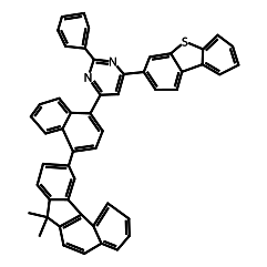 CC1(C)c2ccc(-c3ccc(-c4cc(-c5ccc6c(c5)sc5ccccc56)nc(-c5ccccc5)n4)c4ccccc34)cc2-c2c1ccc1ccccc21